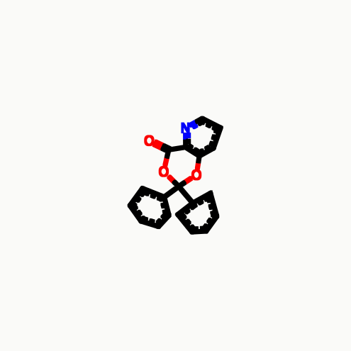 O=C1OC(c2ccccc2)(c2ccccc2)Oc2cccnc21